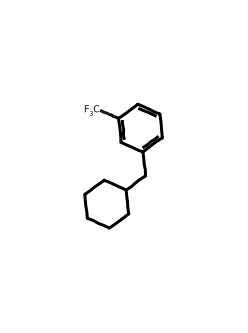 FC(F)(F)c1cccc(CC2CCCCC2)c1